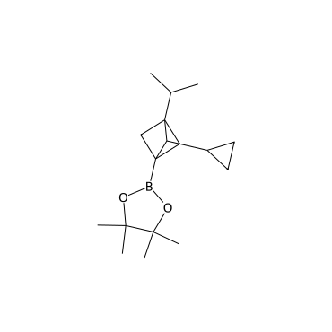 CC(C)C12CC(B3OC(C)(C)C(C)(C)O3)(C1)C2C1CC1